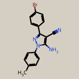 Cc1ccc(-n2nc(-c3ccc(Br)cc3)c(C#N)c2N)cc1